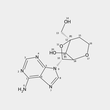 Nc1ncnc2c1ncn2[C@@H]1O[C@@]2(CO)CCOC1C2O